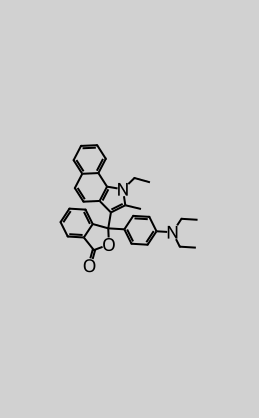 CCN(CC)c1ccc(C2(c3c(C)n(CC)c4c3ccc3ccccc34)OC(=O)c3ccccc32)cc1